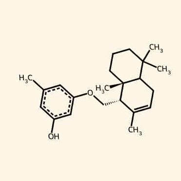 CC1=CCC2C(C)(C)CCC[C@@]2(C)[C@H]1COc1cc(C)cc(O)c1